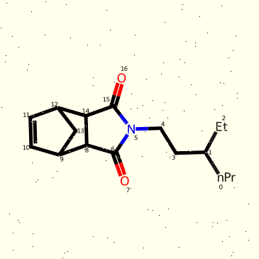 CCCC(CC)CCN1C(=O)C2C3C=CC(C3)C2C1=O